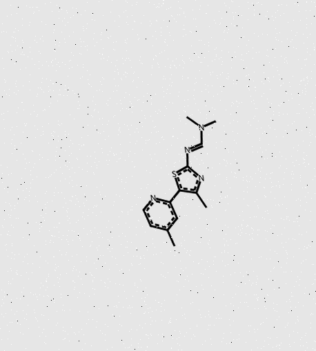 Cc1ccnc(-c2sc(N=CN(C)C)nc2C)c1